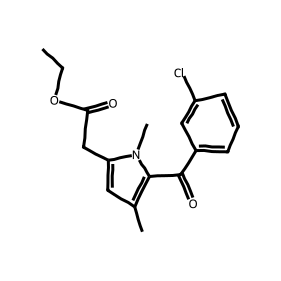 CCOC(=O)Cc1cc(C)c(C(=O)c2cccc(Cl)c2)n1C